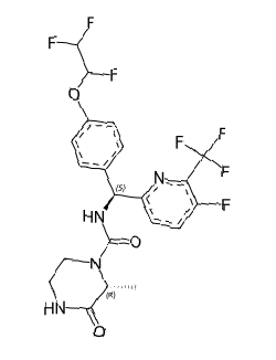 C[C@@H]1C(=O)NCCN1C(=O)N[C@@H](c1ccc(OC(F)C(F)F)cc1)c1ccc(F)c(C(F)(F)F)n1